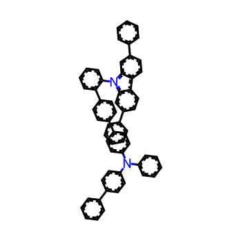 c1ccc(-c2ccc(N(c3ccccc3)c3ccc(-c4ccc(-c5ccccc5-n5c6cc(-c7ccccc7)ccc6c6ccc(-c7ccccc7)cc65)cc4)cc3)cc2)cc1